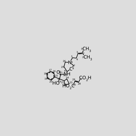 CC(C)=CCCN1CCC(NC(=O)C(O)(c2ccccc2)C2CCC2)CC1.O=C(O)/C=C/C(=O)O